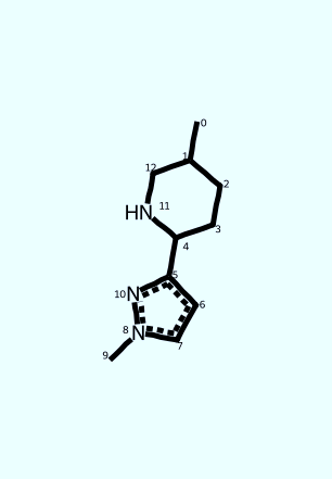 CC1CCC(c2ccn(C)n2)NC1